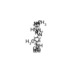 Cc1cc(-c2ncnc(Nc3cnn(C)c3)n2)ccc1CNC(=O)OC(C)(C)C